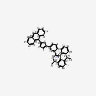 C/C(c1cccc(-c2ccc(-c3c4ccccc4cc4ccccc34)s2)n1)=[N+](/c1ccccc1)c1c(C(C)C)cccc1C(C)C